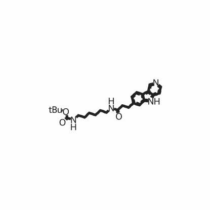 CC(C)(C)OC(=O)NCCCCCCNC(=O)CCc1ccc2c(c1)[nH]c1ccncc12